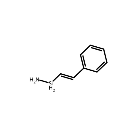 N[SiH2]C=Cc1ccccc1